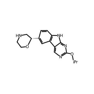 CC(C)Oc1ncc2c(n1)[nH]c1ccc([C@H]3CNCCO3)cc12